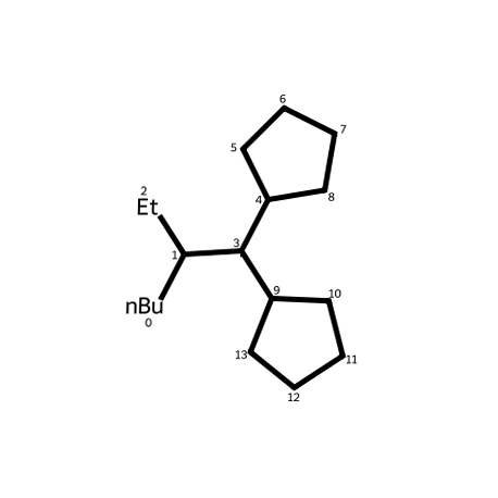 CCCCC(CC)[C](C1CCCC1)C1CCCC1